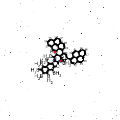 B=C(/C(B)=c1\c(=C(\B)C)oc2c(B)c3c(B)c(B)c(B)c(B)c3c(B)c12)c1ccc(-c2ccc3ccc4cccc5ccc2c3c45)cc1-c1ccc2ccc3cccc4ccc1c2c34